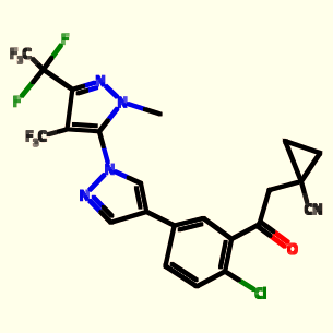 Cn1nc(C(F)(F)C(F)(F)F)c(C(F)(F)F)c1-n1cc(-c2ccc(Cl)c(C(=O)CC3(C#N)CC3)c2)cn1